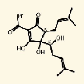 CC(C)=CC[C@@H]1C(=O)C(C(=O)C(C)C)=C(O)C1(O)[C@@H](O)CC=C(C)C